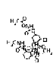 CCN(C(=O)c1cccc(OC(=O)NC)c1)N(C(=O)c1ccc(OC(=O)NOC(C)=O)cc1Cl)C(C)(C)C